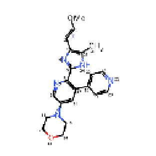 CO/C=C/c1nc(-c2ncc(N3CCOCC3)cc2-c2ccncc2)[nH]c1C